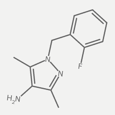 Cc1nn(Cc2ccccc2F)c(C)c1N